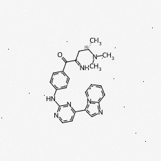 C[C@@H](CC(=N)C(=O)c1ccc(Nc2nccc(-c3cnc4ccccn34)n2)cc1)N(C)C